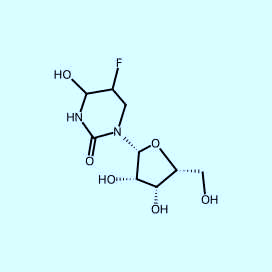 O=C1NC(O)C(F)CN1[C@@H]1O[C@H](CO)[C@H](O)[C@@H]1O